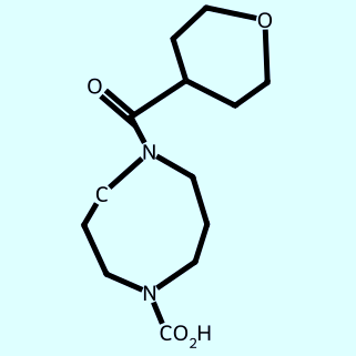 O=C(O)N1CCCN(C(=O)C2CCOCC2)CCC1